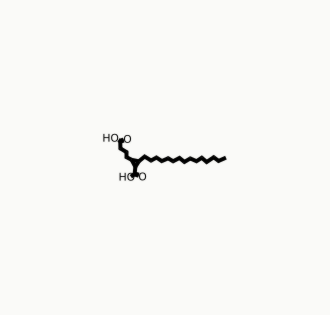 CCCCCCCCCCCCCCCC1C(CCCC(=O)O)C1C(=O)O